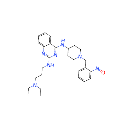 CCN(CC)CCCNc1nc(NC2CCN(Cc3ccccc3N=O)CC2)c2ccccc2n1